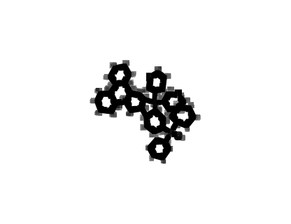 O=P(c1ccccc1)(c1ccccc1)c1ccc2c(c1)[Si](c1cccnc1)(c1cccnc1)c1cc3c4ccccc4c4ccccc4c3cc1-2